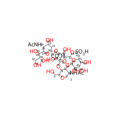 CC(=O)NC1[C@H](C)OC(CO)[C@@H](O[C@@H]2OC(COS(=O)(=O)O)[C@H](O)[C@H](O[C@]3(C(=O)O)C[C@@H](O)[C@@H](NC(C)=O)C([C@H](O)[C@H](O)CO)O3)C2O)[C@@H]1O[C@@H]1OC(C)[C@@H](O)[C@H](O)C1O